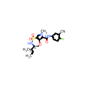 C=C[C@@H](C)[C@@H]1COc2c(cn(C)c2C(=O)Nc2ccc(F)c(C#N)c2)S(=O)(=O)N1